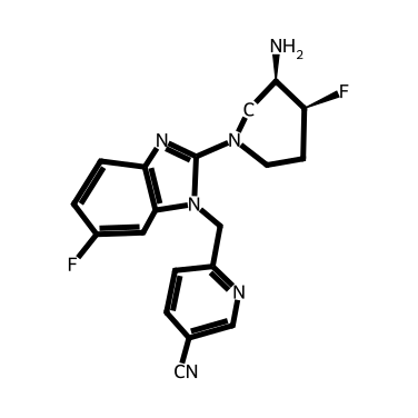 N#Cc1ccc(Cn2c(N3CC[C@H](F)[C@H](N)C3)nc3ccc(F)cc32)nc1